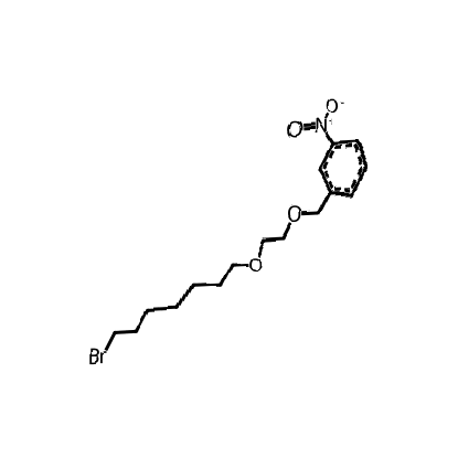 O=[N+]([O-])c1cccc(COCCOCCCCCCCBr)c1